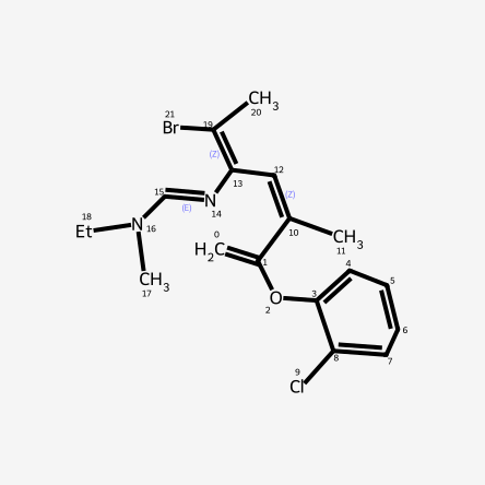 C=C(Oc1ccccc1Cl)\C(C)=C/C(/N=C/N(C)CC)=C(\C)Br